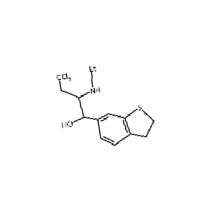 CCNC(CC(Cl)(Cl)Cl)C(O)c1ccc2c(c1)SCC2